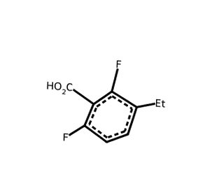 CCc1ccc(F)c(C(=O)O)c1F